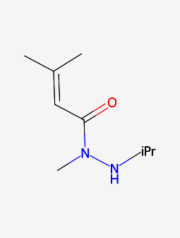 CC(C)=CC(=O)N(C)NC(C)C